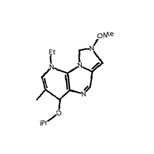 CCN1C=C(C)C(OC(C)C)C2=C1N1CN(OC)C=C1C=N2